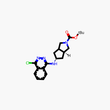 CC(C)(C)OC(=O)N1CC2C[C@@H](Nc3nnc(Cl)c4ccccc34)C[C@@H]2C1